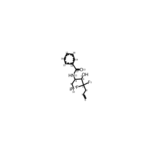 C=CCC(F)(F)C(O)C(CC(C)C)NC(=O)c1ccccc1